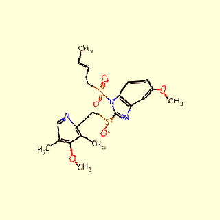 CCCCS(=O)(=O)n1c([S+]([O-])Cc2ncc(C)c(OC)c2C)nc2cc(OC)ccc21